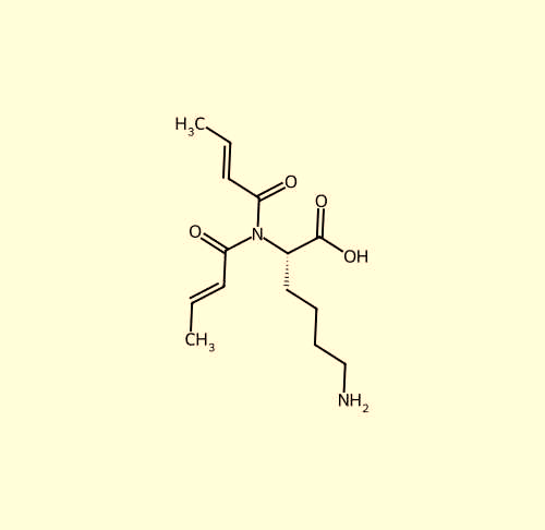 C/C=C/C(=O)N(C(=O)/C=C/C)[C@@H](CCCCN)C(=O)O